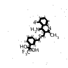 Cc1nc2cccc(F)c2c(N)c1CSCc1cccc(C(O)(O)C(F)(F)F)c1